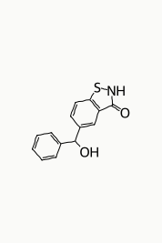 O=c1[nH]sc2ccc(C(O)c3ccccc3)cc12